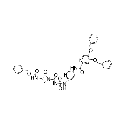 O=C(NC1CN(C(=O)NS(=O)(=O)Nc2ccc(NC(=O)c3cc(OCc4ccccc4)c(OCc4ccccc4)cn3)cn2)C1=O)OCc1ccccc1